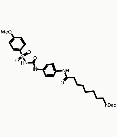 CCCCCCCCCCCCCCCCCC(=O)Nc1ccc(NC(=O)NS(=O)(=O)c2ccc(OC)cc2)cc1